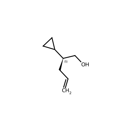 C=CC[C@H](CO)C1CC1